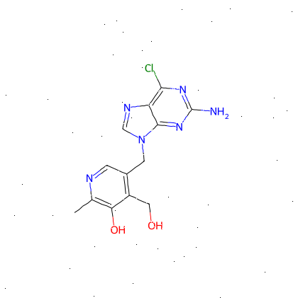 Cc1ncc(Cn2cnc3c(Cl)nc(N)nc32)c(CO)c1O